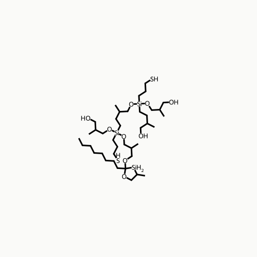 CCCCCCCCC1(OCC(C)CO[Si](CCCS)(CCC(C)CO[Si](CCCS)(CCC(C)CO)OCC(C)CO)OCC(C)CO)OCC(C)[SiH2]1